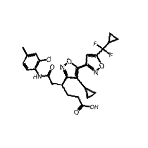 Cc1ccc(NC(=O)C[C@H](CCC(=O)O)c2noc(-c3cc(C(F)(F)C4CC4)on3)c2C2CC2)c(Cl)c1